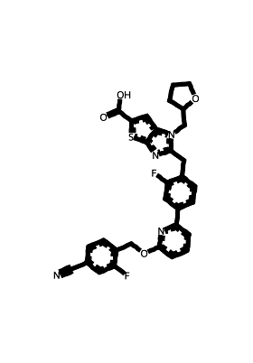 N#Cc1ccc(COc2cccc(-c3ccc(Cc4nc5sc(C(=O)O)cc5n4CC4CCCO4)c(F)c3)n2)c(F)c1